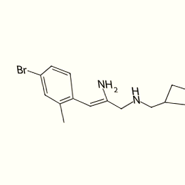 Cc1cc(Br)ccc1/C=C(\N)CNCC1CCC1